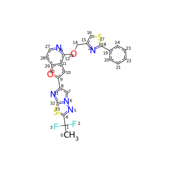 CC(F)(F)c1nn2cc(-c3cc4c(OCc5csc(-c6ccccc6)n5)nccc4o3)nc2s1